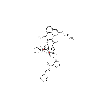 CCc1cccc2cc(OCOC)cc(-c3ncc4c(N5CC6CCC(C5)N6C(=O)OC(C)(C)C)nc(OC[C@@H]5CCCN5C(=O)OCc5ccccc5)nc4c3F)c12